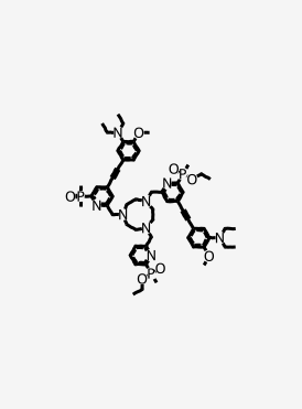 CCOP(C)(=O)c1cccc(CN2CCN(Cc3cc(C#Cc4ccc(OC)c(N(CC)CC)c4)cc(P(C)(C)=O)n3)CCN(Cc3cc(C#Cc4ccc(OC)c(N(CC)CC)c4)cc(P(C)(=O)OCC)n3)CC2)n1